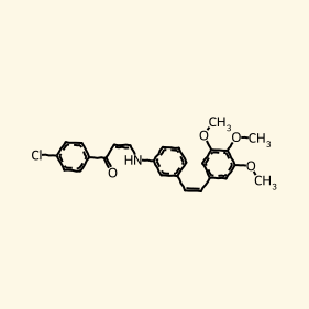 COc1cc(/C=C\c2cccc(N/C=C\C(=O)c3ccc(Cl)cc3)c2)cc(OC)c1OC